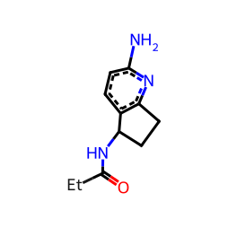 CCC(=O)NC1CCc2nc(N)ccc21